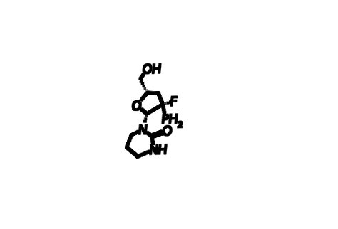 O=C1NCCCN1[C@@H]1O[C@H](CO)C[C@@]1(F)P